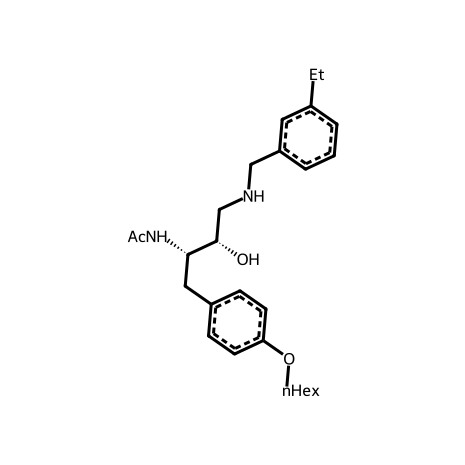 CCCCCCOc1ccc(C[C@H](NC(C)=O)[C@@H](O)CNCc2cccc(CC)c2)cc1